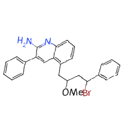 COC(Cc1cccc2nc(N)c(-c3ccccc3)cc12)CC(Br)c1ccccc1